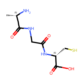 C[C@H](N)C(=O)NCC(=O)N[C@H](CS)C(=O)O